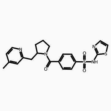 Cc1ccnc(CC2CCCN2C(=O)c2ccc(S(=O)(=O)Nc3nccs3)cc2)c1